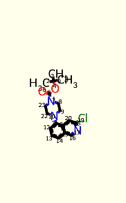 CC(C)(C)OC(=O)N1CCN(c2cccc3cnc(Cl)cc23)CC1